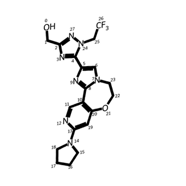 OCc1nc(-c2cn3c(n2)-c2cnc(N4CCCC4)cc2OCC3)n(CC(F)(F)F)n1